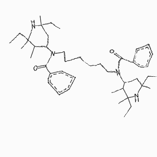 CCC1(C)CC(N(CCCCCCN(C(=O)c2ccccc2)C2CC(C)(CC)NC(C)(CC)C2C)C(=O)c2ccccc2)C(C)C(C)(CC)N1